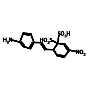 Nc1ccc(C=CC2C=CC([N+](=O)[O-])=CC2(S(=O)(=O)O)S(=O)(=O)O)cc1